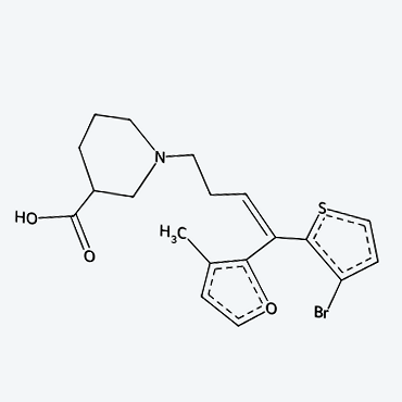 Cc1ccoc1/C(=C\CCN1CCCC(C(=O)O)C1)c1sccc1Br